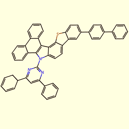 C1=CCC(c2cc(-c3ccccc3)nc(-n3c4ccc5c6cc(-c7ccc(-c8ccccc8)cc7)ccc6sc5c4c4c5ccccc5c5ccccc5c43)n2)C=C1